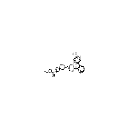 CCOC(=O)N1CC2(CCC(N3CCN(c4ncccc4-c4cnc(OC)cn4)CC3)C2)C1